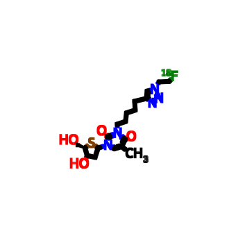 Cc1cn(C2CC(O)[C@@H](CO)S2)c(=O)n(CCCCCc2cn(CC[18F])nn2)c1=O